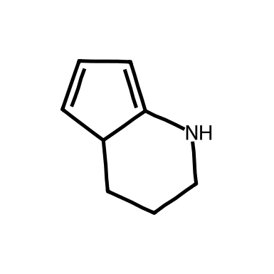 C1=CC2CCCNC2=C1